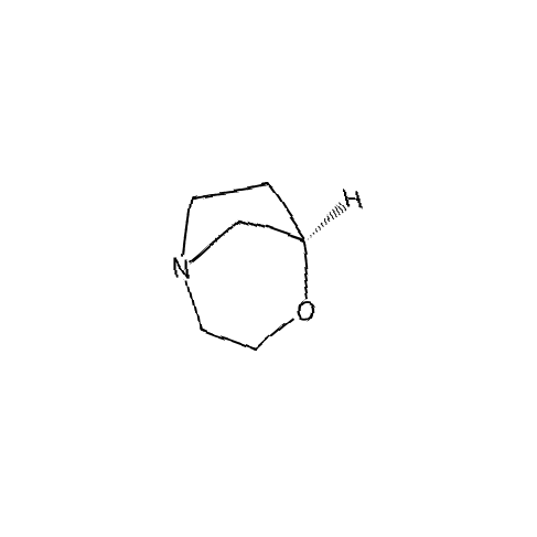 C1CN2CC[C@H](C2)O1